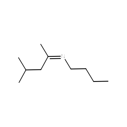 CCCCN=C(C)CC(C)C